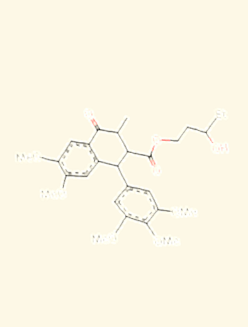 CCC(O)CCOC(=O)C1C(C)C(=O)c2cc(OC)c(OC)cc2C1c1cc(OC)c(OC)c(OC)c1